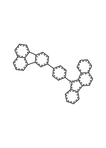 c1cc2c3c(cccc3c1)-c1cc(-c3ccc(-n4c5ccccc5c5ccc6ccccc6c54)cc3)ccc1-2